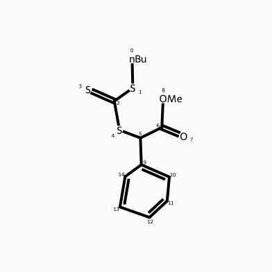 CCCCSC(=S)SC(C(=O)OC)c1ccccc1